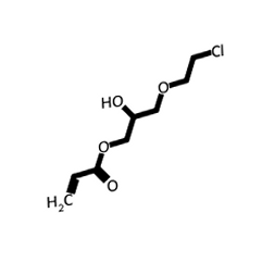 C=CC(=O)OCC(O)COCCCl